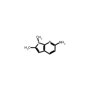 Cc1cc2ccc(N)nc2n1C